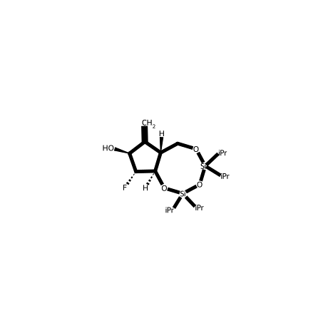 C=C1[C@H](O)[C@@H](F)[C@@H]2O[Si](C(C)C)(C(C)C)O[Si](C(C)C)(C(C)C)OC[C@@H]12